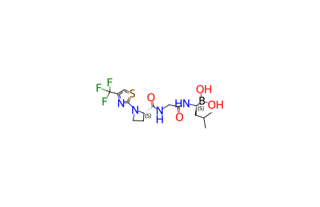 CC(C)C[C@@H](NC(=O)CNC(=O)[C@@H]1CCN1c1nc(C(F)(F)F)cs1)B(O)O